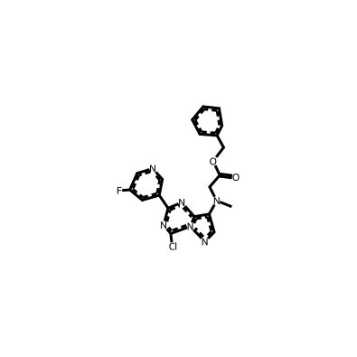 CN(CC(=O)OCc1ccccc1)c1cnn2c(Cl)nc(-c3cncc(F)c3)nc12